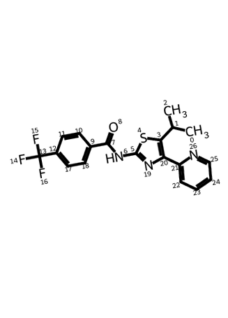 CC(C)c1sc(NC(=O)c2ccc(C(F)(F)F)cc2)nc1-c1ccccn1